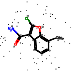 COc1cccc2c(C(N)=O)c(Cl)oc12